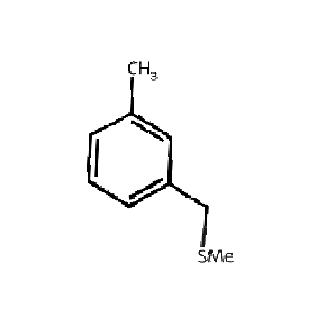 [CH2]SCc1cccc(C)c1